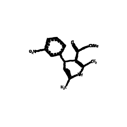 COC(=O)C1=C(C)NC(C)=CC1c1cccc([N+](=O)[O-])c1